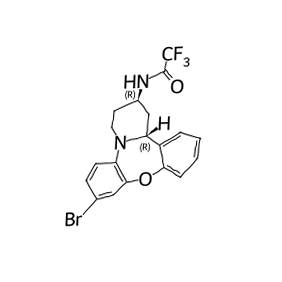 O=C(N[C@@H]1CCN2c3ccc(Br)cc3Oc3ccccc3[C@H]2C1)C(F)(F)F